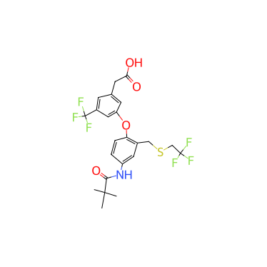 CC(C)(C)C(=O)Nc1ccc(Oc2cc(CC(=O)O)cc(C(F)(F)F)c2)c(CSCC(F)(F)F)c1